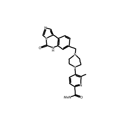 CNC(=O)c1ccc(N2CCN(Cc3ccc4c(c3)[nH]c(=O)n3cncc43)CC2)c(C)n1